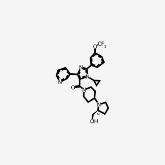 O=C(c1c(-c2cccnc2)nc(-c2cccc(OC(F)(F)F)c2)n1C1CC1)N1CCC(N2CCC[C@H]2CO)CC1